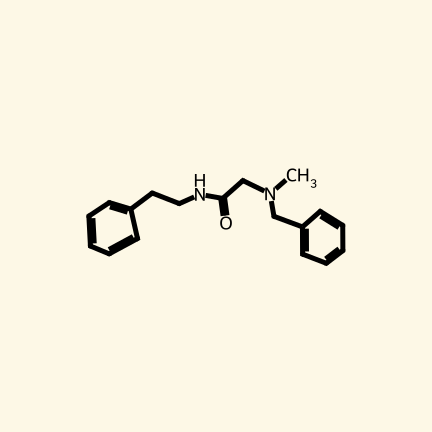 CN(CC(=O)NCCc1ccccc1)Cc1ccccc1